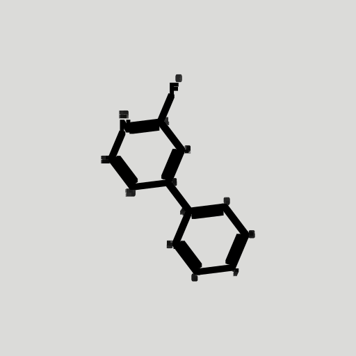 Fc1cc(-c2[c]cccc2)ccn1